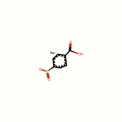 O=C(O)c1ccc(S(=O)[O-])cc1.[Na+]